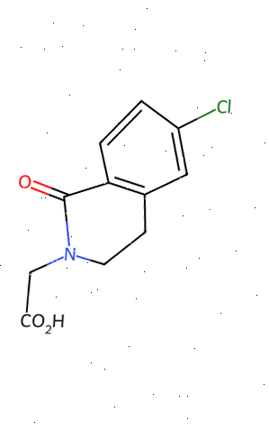 O=C(O)CN1CCc2cc(Cl)ccc2C1=O